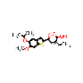 CC[C@@H](CC(=O)c1cc2cc(OC(C)C)c(OC)cc2s1)C(=O)O